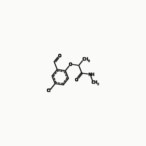 CNC(=O)C(C)Oc1ccc(Cl)cc1C=O